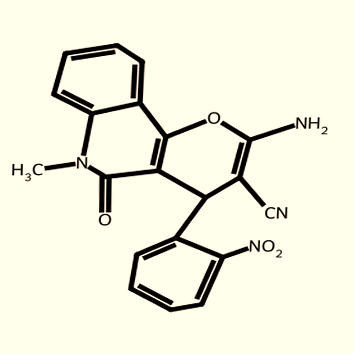 Cn1c(=O)c2c(c3ccccc31)OC(N)=C(C#N)C2c1ccccc1[N+](=O)[O-]